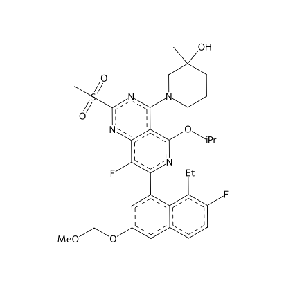 CCc1c(F)ccc2cc(OCOC)cc(-c3nc(OC(C)C)c4c(N5CCCC(C)(O)C5)nc(S(C)(=O)=O)nc4c3F)c12